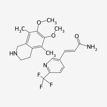 COc1c(C)c2c(c(C)c1OC)CNCC2.NC(=O)C=Cc1ccc(C(F)(F)F)nc1